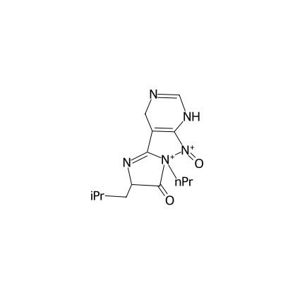 CCC[N+]12C(=O)C(CC(C)C)N=C1C1=C(NC=NC1)[N+]2=O